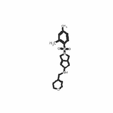 Cc1ccc(S(=O)(=O)N2CC3CC(NCC4CCOCC4)CC3C2)c(C)c1